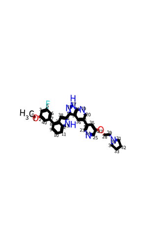 COc1cc(F)cc(-c2cccc3[nH]c(-c4n[nH]c5ncc(-c6cncc(OCCN7CCCC7)c6)cc45)cc23)c1